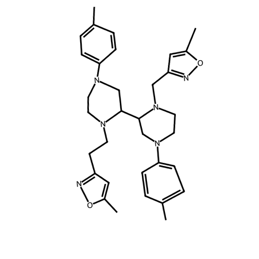 Cc1ccc(N2CCN(CCc3cc(C)on3)C(C3CN(c4ccc(C)cc4)CCN3Cc3cc(C)on3)C2)cc1